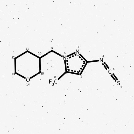 FC(F)(F)c1cc(N=C=S)nn1CC1CCCOC1